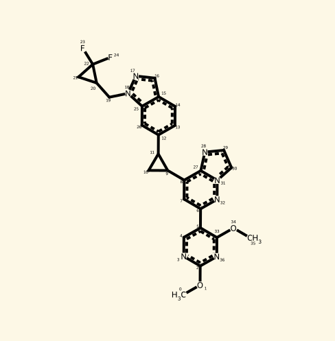 COc1ncc(-c2cc(C3CC3c3ccc4cnn(CC5CC5(F)F)c4c3)c3nccn3n2)c(OC)n1